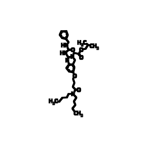 CCCCCN(CCCCC)C(=O)CCCOc1ccc2c(c1)CN(CC(=O)OCC(C)C)C(NC(=O)NCc1ccccc1)=N2